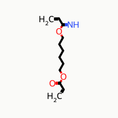 C=CC(=N)OCCCCCCOC(=O)C=C